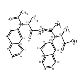 CC(=O)N(c1ccc2ccccc2c1)[C@@H](C)C(=O)O.CC(=O)N(c1ccc2ccccc2c1)[C@@H](C)C(=O)O